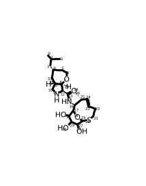 CC(C)C[C@@H]1CCO[C@@H]2[C@H](CN[C@@H]2C(=O)N[C@H]2C3OC(SCC/C=C/[C@H]2C)C(O)C(O)C3O)C1